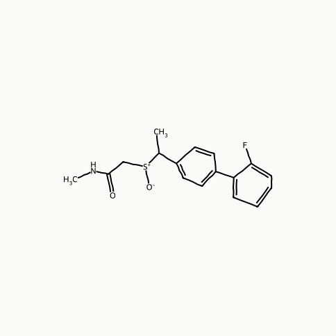 CNC(=O)C[S+]([O-])C(C)c1ccc(-c2ccccc2F)cc1